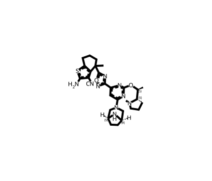 C[C@H](Oc1nc(-c2noc(C3(C)CCCc4sc(N)c(C#N)c43)n2)cc(N2C[C@H]3CC[C@@H](C2)N3)n1)[C@@H]1CCCN1C